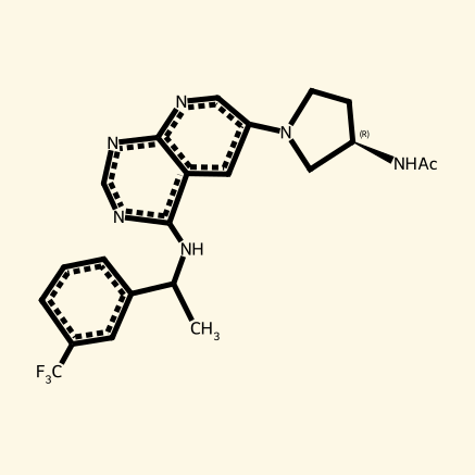 CC(=O)N[C@@H]1CCN(c2cnc3ncnc(NC(C)c4cccc(C(F)(F)F)c4)c3c2)C1